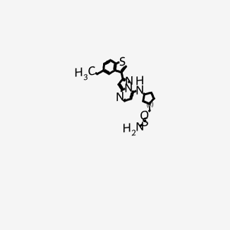 CCc1ccc2scc(-c3cc4nccc(NC5CC[C@@H](COSN)C5)n4n3)c2c1